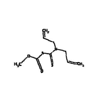 C=CCN(CC=C)C(=S)SC(=O)OC